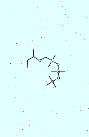 CCC(C)OC[Si](C)(C)O[Si](C)(C)O[Si](C)(C)C